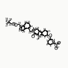 Cn1c2cc(Oc3cccc([N+](=O)[O-])n3)ccc2c2cnn(Cc3cccc4c3cnn4COCC[Si](C)(C)C)c(=O)c21